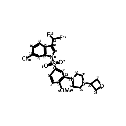 COc1ccc(S(=O)(=O)n2cc(C(F)F)c3ccc(Cl)cc32)cc1N1CCN(C2COC2)CC1